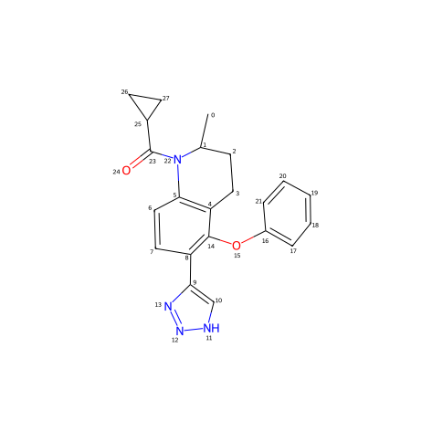 CC1CCc2c(ccc(-c3c[nH]nn3)c2Oc2ccccc2)N1C(=O)C1CC1